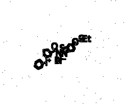 CCOCOc1ccc2nc(NC(=O)c3cccc([I+]c4ccccc4)c3)sc2c1.[Br-]